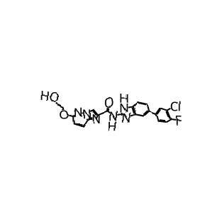 O=C(Nc1nc2cc(-c3ccc(F)c(Cl)c3)ccc2[nH]1)c1cn2nc(OCCO)ccc2n1